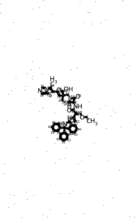 CCON=C(C(=O)N[C@@H]1C(=O)N2CC(C=Cc3sc4cncn4c3C)(C(=O)O)CS[C@H]12)c1csc(NC(c2ccccc2)(c2ccccc2)c2ccccc2)n1